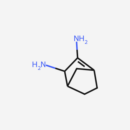 NC1=C2CCC(C2)C1N